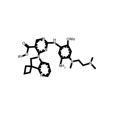 COc1cc(N(C)CCN(C)C)c(N)cc1Nc1ncc(C(=O)OC(C)C)c(N2CC3(CCC3)c3ncccc32)n1